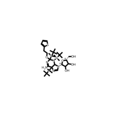 CC(C)(C)[Si](C)(C)N1C2N([C@@H]3O[C@H](CO)C(O)C3O)C=NC2([Si](C)(C)C(C)(C)C)C(N)=NC1(OCCc1cccs1)[Si](C)(C)C(C)(C)C